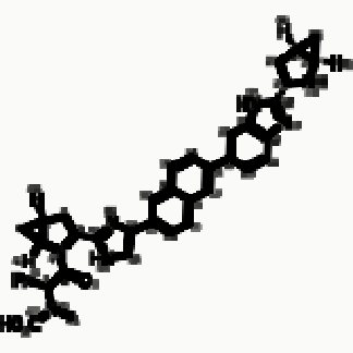 CC(C)[C@@H](C(=O)N1[C@@H]2C[C@@H]2C[C@H]1c1nc(-c2ccc3cc(-c4ccc5nc([C@@H]6C[C@H]7C[C@H]7N6)[nH]c5c4)ccc3c2)c[nH]1)N(C)C(=O)O